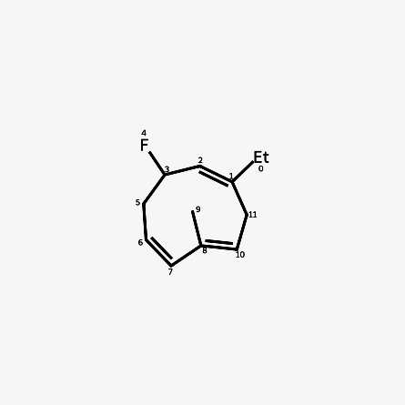 CCC1=CC(F)C/C=C\C(C)=C\C1